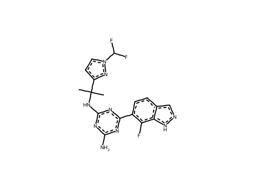 CC(C)(Nc1nc(N)nc(-c2ccc3cn[nH]c3c2F)n1)c1ccn(C(F)F)n1